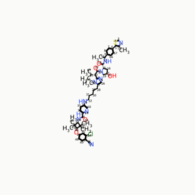 Cc1ncsc1-c1ccc([C@H](C)NC(=O)[C@@H]2C[C@@H](O)CN2C(=O)[C@H](c2ncc(CCCCCNc3ccc(C(=O)N[C@H]4C(C)(C)[C@H](Oc5ccc(C#N)c(Cl)c5)C4(C)C)nc3)n2C)C(C)C)cc1